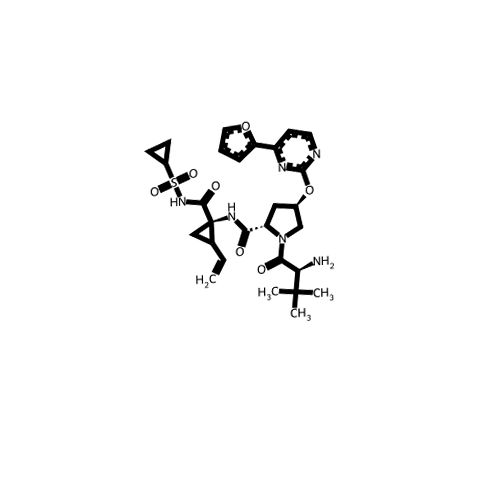 C=CC1C[C@]1(NC(=O)[C@@H]1C[C@@H](Oc2nccc(-c3ccco3)n2)CN1C(=O)[C@@H](N)C(C)(C)C)C(=O)NS(=O)(=O)C1CC1